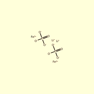 O=P([O-])([O-])[O-].O=P([O-])([O-])[O-].[Fe+2].[Fe+2].[Li+].[Li+]